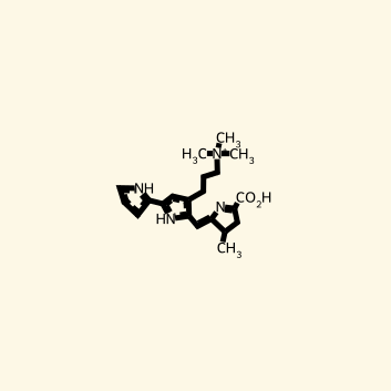 CC1CC(C(=O)O)=N/C1=C\c1[nH]c(-c2ccc[nH]2)cc1CCC[N+](C)(C)C